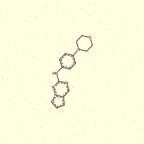 c1cc2cnc(Nc3ccc(N4CCOCC4)cc3)nn2c1